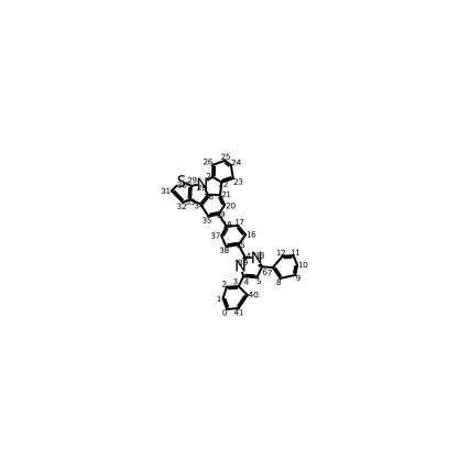 c1ccc(-c2cc(-c3ccccc3)nc(-c3ccc(-c4cc5c6ccccc6n6c7sccc7c(c4)c56)cc3)n2)cc1